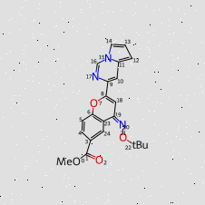 COC(=O)c1ccc2oc(-c3cc4cccn4cn3)c/c(=N/OC(C)(C)C)c2c1